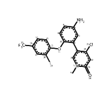 Cn1cc(-c2cc(N)ccc2Oc2ccc(C(F)(F)F)cc2I)c(Cl)cc1=O